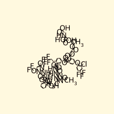 CCOC(=O)COC(=O)c1cc(Oc2ccc(C(F)(F)F)cc2Cl)ccc1[N+](=O)[O-].COc1nc(C)nc(NC(=O)NS(=O)(=O)c2ccccc2CCC(F)(F)F)n1.O=C(Nc1nc(OC(F)F)cc(OC(F)F)n1)NS(=O)(=O)c1ccccc1C(=O)O.O=C(O)CNCP(=O)(O)O